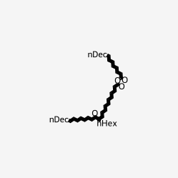 CCCCCCCCCCCCCCCCCC(=O)OC(=O)CCCCCCCCCCC(CCCCCC)C(=O)CCCCCCCCCCCCCCCCC